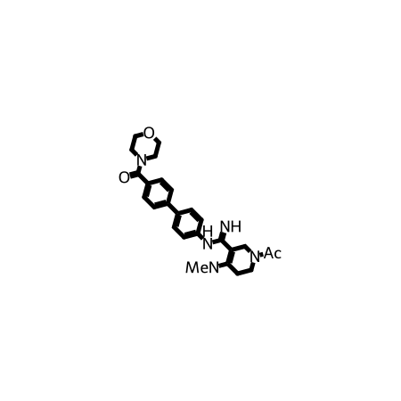 CNC1=C(C(=N)Nc2ccc(-c3ccc(C(=O)N4CCOCC4)cc3)cc2)CN(C(C)=O)CC1